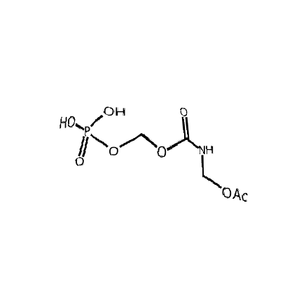 CC(=O)OCNC(=O)OCOP(=O)(O)O